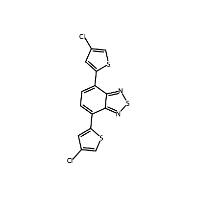 Clc1csc(-c2ccc(-c3cc(Cl)cs3)c3nsnc23)c1